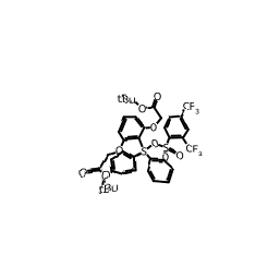 CC(C)(C)OC(=O)COc1cccc(OCC(=O)OC(C)(C)C)c1S(OS(=O)(=O)c1ccc(C(F)(F)F)cc1C(F)(F)F)(c1ccccc1)c1ccccc1